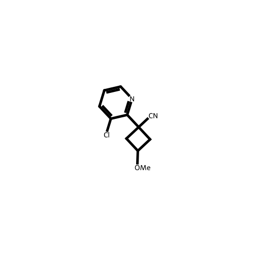 COC1CC(C#N)(c2ncccc2Cl)C1